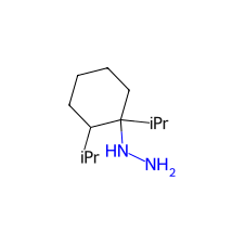 CC(C)C1CCCCC1(NN)C(C)C